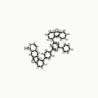 C1=Cc2cc3c(cc2NC1)oc1cccc(-c2ccc(-c4nc(-c5ccccc5)nc(-c5cccc6oc7ccccc7c56)n4)cc2)c13